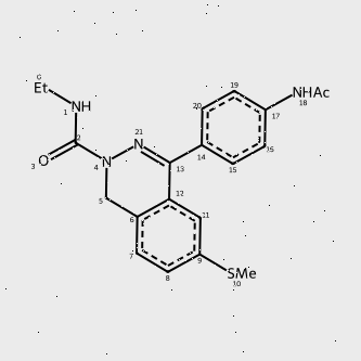 CCNC(=O)N1Cc2ccc(SC)cc2C(c2ccc(NC(C)=O)cc2)=N1